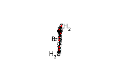 C=CC[n+]1ccn(CCCCCCCCCCCCCCCC)c1.[Br-]